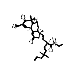 CCCC(C)(C)CC[C@@](C)(CC[C@]1(C)CC(=O)C=C2[C@@]3(C)C=C(C#N)C(=O)C(C)(C)[C@@H]3CC[C@]21C)C(=O)NCC